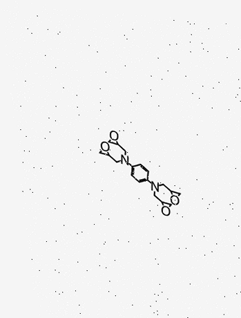 c1cc(N(CC2CO2)CC2CO2)ccc1N(CC1CO1)CC1CO1